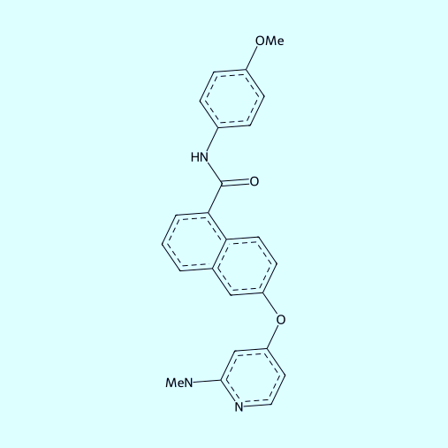 CNc1cc(Oc2ccc3c(C(=O)Nc4ccc(OC)cc4)cccc3c2)ccn1